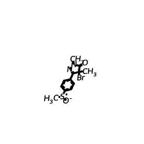 CN1N=C(c2ccc([S+](C)[O-])cc2)C(C)(Br)C1=O